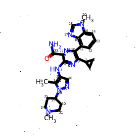 Cc1c(Nc2nc(C3CC3)c(-c3cccc4c3ncn4C)nc2C(N)=O)cnn1C1CCN(C)CC1